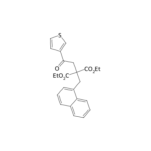 CCOC(=O)C(CC(=O)c1ccsc1)(Cc1cccc2ccccc12)C(=O)OCC